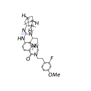 COc1ccc(CCn2cnc3cc(N/C(=N/C4C[C@@H]5C[C@H]([C@@H]4C)C5(C)C)N(C)C4CCN(C)C4)ccc3c2=O)c(F)c1